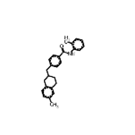 Cc1ccc2c(c1)CCC(Cc1ccc(C(=O)Nc3ccccc3C)cc1)C2